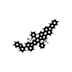 Cc1ccccc1-c1c2cc3c(cc2c(-c2ccccc2C)c2c4ccc5c6ccc7c8c(ccc(c9ccc(c12)c4c95)c86)-c1cc2ccccc2cc1-7)c1ccc(-c2cccc4c2sc2ccccc24)c2cccc3c21